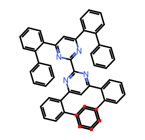 c1ccc(-c2ccccc2-c2cc(-c3ccccc3-c3ccccc3)nc(-c3nc(-c4ccccc4-c4ccccc4)cc(-c4ccccc4-c4ccccc4)n3)n2)cc1